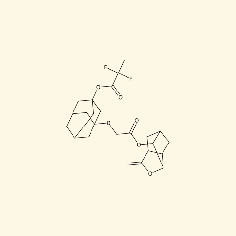 C=C1OC2C3CC(CC13)C2OC(=O)COC12CC3CC(C1)CC(OC(=O)C(C)(F)F)(C3)C2